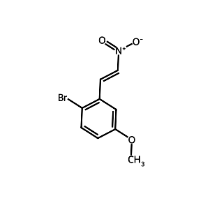 COc1ccc(Br)c(/C=C/[N+](=O)[O-])c1